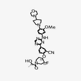 COc1cc(Nc2ncnc(-c3ccc(O[C@H]4CCN(C(=O)[C@H](C)O)C[C@@H]4F)c(C#N)c3)n2)ccc1N1CCC(N2CCOCC2)CC1